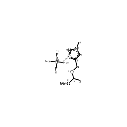 COC(C)OCc1cn(C)nn1.F[B-](F)(F)F